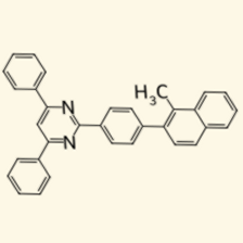 Cc1c(-c2ccc(-c3nc(-c4ccccc4)cc(-c4ccccc4)n3)cc2)ccc2ccccc12